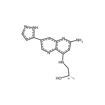 C[C@H](O)CNc1cc(N)nc2cc(-c3ccn[nH]3)cnc12